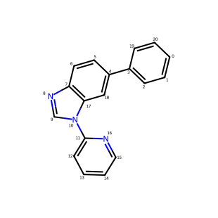 c1ccc(-c2ccc3ncn(-c4ccccn4)c3c2)cc1